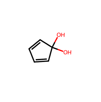 OC1(O)C=CC=C1